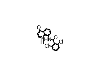 O=C(Nc1cccc2c(=O)cc[nH]c12)c1c(Cl)cccc1Cl